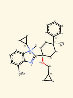 CSc1cccc2c1N=C([C@]1(OCC3CC3)CC[C@@](C#N)(c3ccccc3)CC1)[N+]2(C)C1CC1